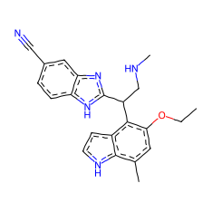 CCOc1cc(C)c2[nH]ccc2c1C(CNC)c1nc2cc(C#N)ccc2[nH]1